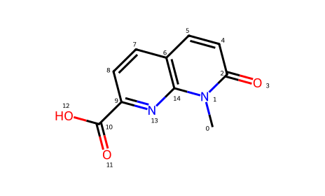 Cn1c(=O)ccc2ccc(C(=O)O)nc21